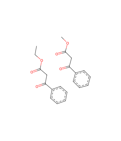 CCOC(=O)CC(=O)c1ccccc1.COC(=O)CC(=O)c1ccccc1